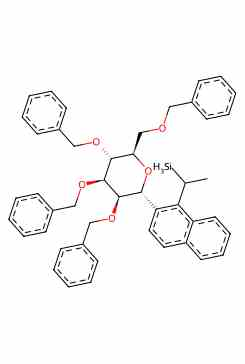 CC([SiH3])c1c([C@H]2O[C@H](COCc3ccccc3)[C@@H](OCc3ccccc3)[C@H](OCc3ccccc3)[C@@H]2OCc2ccccc2)ccc2ccccc12